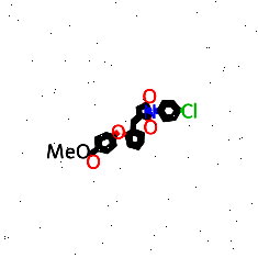 COC(=O)c1ccc(Oc2ccccc2/C=C2/CC(=O)N(c3ccc(Cl)cc3)C2=O)cc1